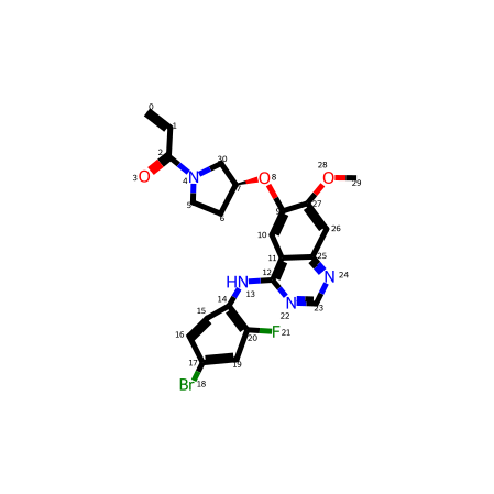 C=CC(=O)N1CC[C@H](Oc2cc3c(Nc4ccc(Br)cc4F)ncnc3cc2OC)C1